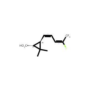 CC1(C)[C@H](/C=C\C=C(\F)C(F)(F)F)[C@H]1C(=O)O